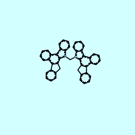 c1ccc2c(c1)Cc1c-2c2ccccc2c2c3ccccc3n(Cn3c4ccccc4c4c5ccccc5c5c(c43)Cc3ccccc3-5)c12